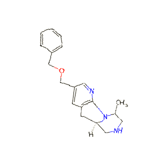 CC1CNC[C@H]2Cc3cc(COCc4ccccc4)cnc3N12